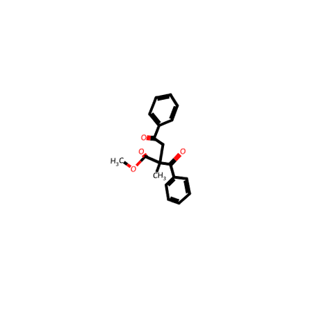 COC(=O)C(C)(CC(=O)c1ccccc1)C(=O)c1ccccc1